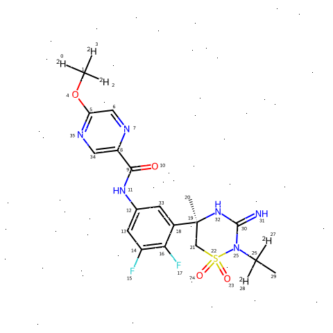 [2H]C([2H])([2H])Oc1cnc(C(=O)Nc2cc(F)c(F)c([C@]3(C)CS(=O)(=O)N(C([2H])([2H])C)C(=N)N3)c2)cn1